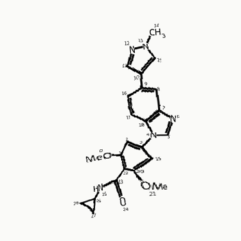 COc1cc(-n2cnc3cc(-c4cnn(C)c4)ccc32)cc(OC)c1C(=O)NC1CC1